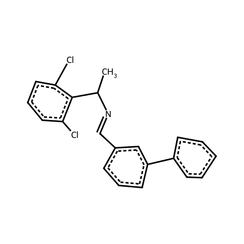 CC(N=Cc1cccc(-c2ccccc2)c1)c1c(Cl)cccc1Cl